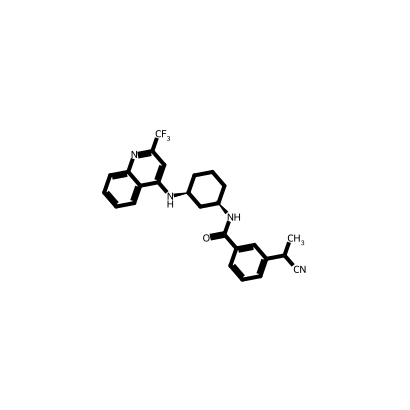 CC(C#N)c1cccc(C(=O)N[C@@H]2CCC[C@H](Nc3cc(C(F)(F)F)nc4ccccc34)C2)c1